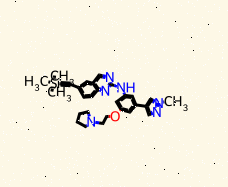 Cn1cc(-c2cc(Nc3ncc4cc(C#C[Si](C)(C)C)ccc4n3)cc(OCCN3CCCC3)c2)cn1